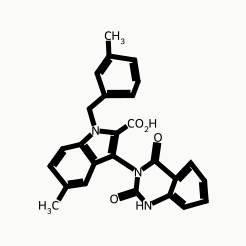 Cc1cccc(Cn2c(C(=O)O)c(-n3c(=O)[nH]c4ccccc4c3=O)c3cc(C)ccc32)c1